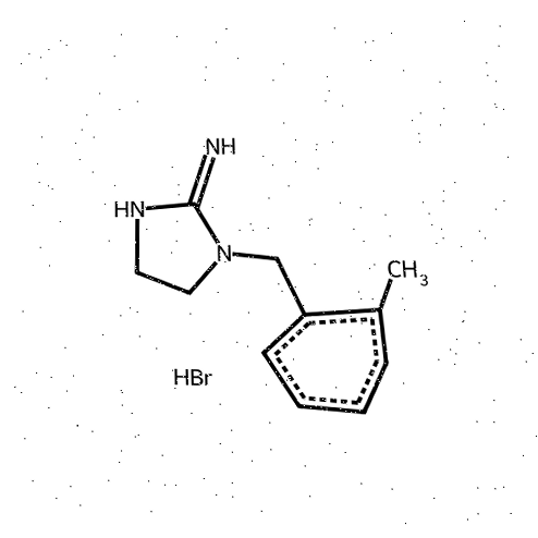 Br.Cc1ccccc1CN1CCNC1=N